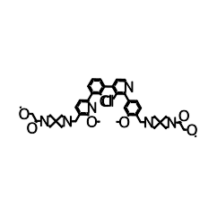 COCC(=O)N1CC2(CN(Cc3ccc(-c4nccc(-c5cccc(-c6ccc(CN7CC8(C7)CN(C(=O)COC)C8)c(OC)n6)c5Cl)c4Cl)cc3OC)C2)C1